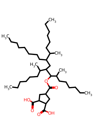 CCCCCCCCC(CC(C(C)CCCCCC)C(OC(=O)C1CC(C(=O)O)C(C(=O)O)C1)C(C)CCCCCC)C(C)CCCCCC